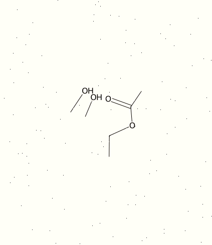 CCOC(C)=O.CO.CO